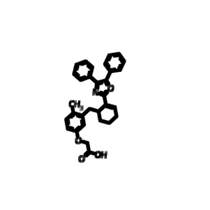 Cc1ccc(OCC(=O)O)cc1CC1CCCC=C1c1nc(-c2ccccc2)c(-c2ccccc2)o1